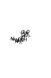 CO[C@H]1C([C@@]2(C)O[C@@H]2CC=C(C)C)[C@]2(CC[C@H]1OC(=O)N[C@H](c1cnn(C[C@@H]3CCN(C)C3)c1)C(C)C)CO2